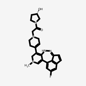 CN1C=C2C(=C(C3=CCN(CC(=O)N4CC[C@H](O)C4)CC3)C1)NN=C1C=Cc3cc(F)cc2c31